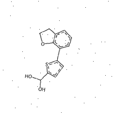 OC(O)c1ccc(-c2cccc3c2OCC3)s1